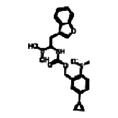 C[S+]([O-])c1ccc(C2CC2)cc1COC(=O)NC(Cc1coc2ccccc12)B(O)O